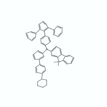 CC1(C)c2ccccc2-c2ccc(N(c3ccc(-c4c(-c5ccccc5)cccc4-c4ccccc4)cc3)c3cccc(-c4ccc(C5CCCCC5)cc4)c3)cc21